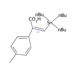 CCC[CH2][Sn](/[CH]=C(\C(=O)O)c1ccc(C)cc1)([CH2]CCC)[CH2]CCC